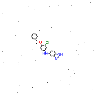 Clc1cc(Nc2ccc3[nH]cnc3c2)ccc1OCc1ccccc1